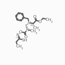 CCOC(=O)[C@H](C)N(Cc1ccccc1)SN(C)C(=O)O/N=C(\S)CC